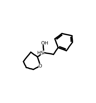 O[SiH](Cc1ccccc1)C1CCCCO1